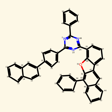 c1ccc(-c2nc(-c3ccc(-c4ccc5ccccc5c4)cc3)nc(-c3cccc4c3oc3c(-c5ccccc5)c5ccccc5cc34)n2)cc1